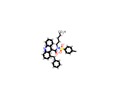 Cc1ccc(S(=O)(=O)N(CCCCC(=O)O)C(=O)c2c3ccccc3nc3cccc(Cc4ccccc4)c23)cc1